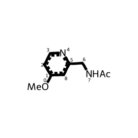 COc1ccnc(CNC(C)=O)c1